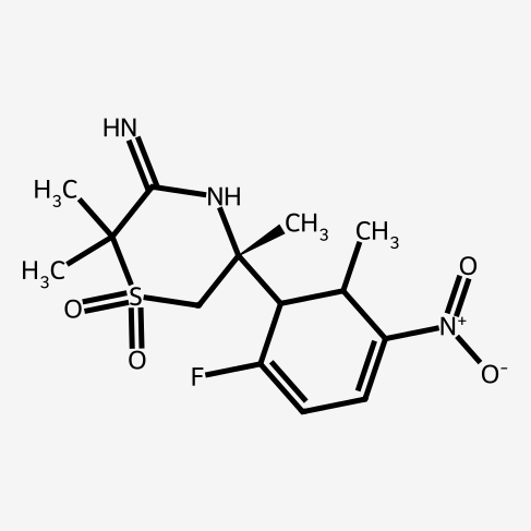 CC1C([N+](=O)[O-])=CC=C(F)C1[C@]1(C)CS(=O)(=O)C(C)(C)C(=N)N1